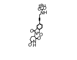 CC(C)(C)OC(=O)NCC#Cc1ccc2c(c1)C(=O)N(C1CCC(=O)NC1=O)C2=O